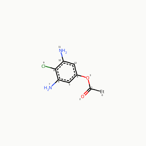 CCC(=O)Oc1cc(N)c(Cl)c(N)c1